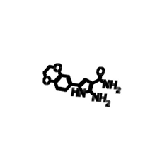 NC(=O)c1cc(-c2ccc3c(c2)OCCO3)[nH]c1N